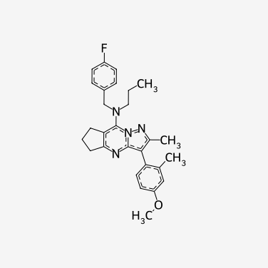 CCCN(Cc1ccc(F)cc1)c1c2c(nc3c(-c4ccc(OC)cc4C)c(C)nn13)CCC2